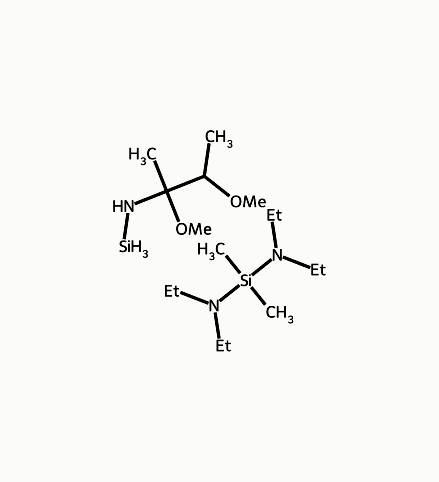 CCN(CC)[Si](C)(C)N(CC)CC.COC(C)C(C)(N[SiH3])OC